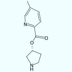 Cc1ccc(C(=O)O[C@@H]2CCNC2)nc1